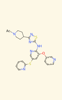 CC(=O)N1CCC(c2nsc(Nc3ncc(Sc4ccccn4)cc3Oc3cccnc3)n2)CC1